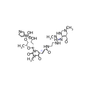 CN/C(=N\C1=C(C=O)CN(C)CN1)NCCNC(=O)/C=C/c1cn([C@@H](CCO)OC(C)COP(=O)(O)n2ccnc2)c(=O)n(C)c1=O